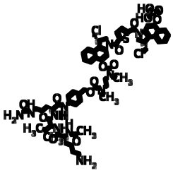 CC(=O)N[C@@H](CCCCN)C(=O)NC(C(=O)N[C@@H](CCCNC(N)=O)C(=O)Nc1ccc(COC(=O)N(C)CCN(C)C(=O)Oc2cc3c(c4ccccc24)[C@H](CCl)CN3C(=O)c2ccc(C(=O)N3C[C@@H](CCl)c4c3cc(OP(=O)(O)O)c3ccccc43)s2)cc1)C(C)C